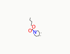 CCCCOC(=O)N1C[CH][CH]CC1